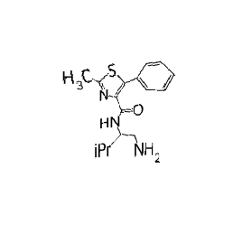 Cc1nc(C(=O)NC(CN)C(C)C)c(-c2ccccc2)s1